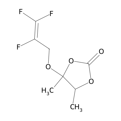 CC1OC(=O)OC1(C)OCC(F)=C(F)F